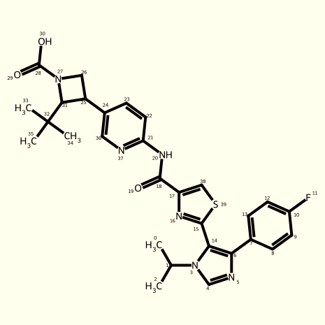 CC(C)n1cnc(-c2ccc(F)cc2)c1-c1nc(C(=O)Nc2ccc(C3CN(C(=O)O)C3C(C)(C)C)cn2)cs1